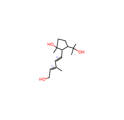 CC(/C=C/C1C(C(C)(C)O)CCC1(C)O)=C\CO